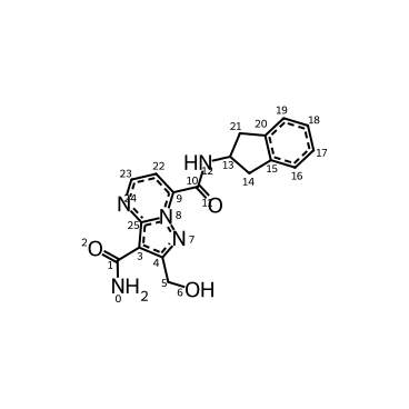 NC(=O)c1c(CO)nn2c(C(=O)NC3Cc4ccccc4C3)ccnc12